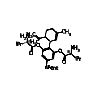 C=C(C)C1CCC(C)=CC1c1c(OC(=O)[C@@H](N)C(C)C)cc(CCCCC)cc1OC(=O)[C@@H](N)C(C)C